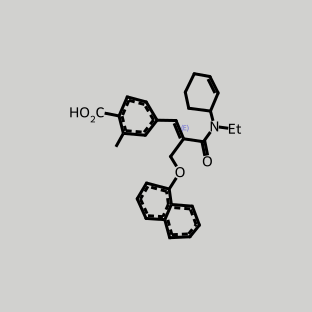 CCN(C(=O)/C(=C/c1ccc(C(=O)O)c(C)c1)COc1cccc2ccccc12)C1C=CCCC1